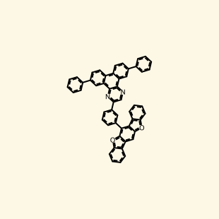 c1ccc(-c2ccc3c4ccc(-c5ccccc5)cc4c4nc(-c5cccc(-c6c7oc8ccccc8c7cc7oc8ccccc8c67)c5)cnc4c3c2)cc1